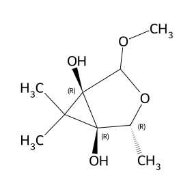 COC1O[C@H](C)[C@]2(O)C(C)(C)[C@]12O